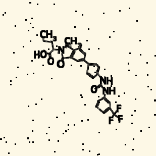 CCCC(C(=O)O)N1C(=O)c2cc(-c3ccc(NC(=O)Nc4cccc(C(F)(F)F)c4)cc3)ccc2[C@H]1C